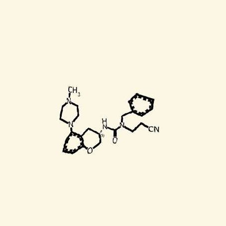 CN1CCN(c2cccc3c2C[C@H](NC(=O)N(CCC#N)Cc2ccccc2)CO3)CC1